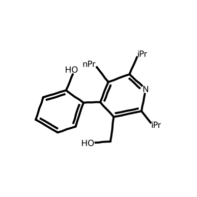 CCCc1c(C(C)C)nc(C(C)C)c(CO)c1-c1ccccc1O